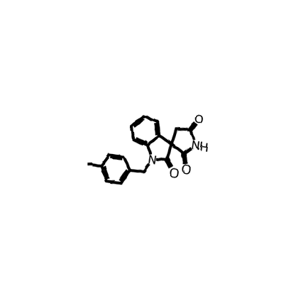 Cc1ccc(CN2C(=O)C3(CC(=O)NC3=O)c3ccccc32)cc1